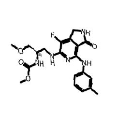 COC[C@@H](CNc1nc(Nc2cccc(C)c2)c2c(c1F)CNC2=O)NC(=O)OC